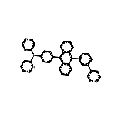 c1ccc(-c2cccc(-c3c4ccccc4c(-c4ccc(N(c5ccccn5)c5ccccn5)cc4)c4ccccc34)c2)cc1